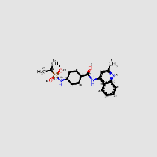 Cc1cc(NC(=O)C2CCC(NS(=O)(=O)C(C)C)CC2)c2ccccc2n1